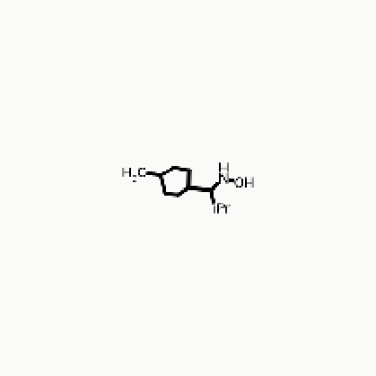 CC1CCC(C(NO)C(C)C)CC1